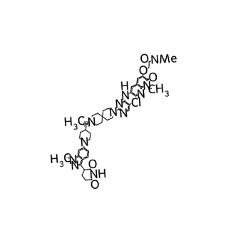 CNC(=O)COc1cc2cc(Nc3nc(N4CCC5(CC4)CCN([C@H](C)C4CCN(c6ccc7c(C8CCC(=O)NC8=O)nn(C)c7c6)CC4)CC5)ncc3Cl)cnc2n(C)c1=O